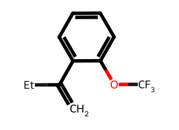 C=C(CC)c1ccccc1OC(F)(F)F